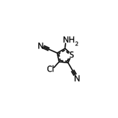 N#Cc1sc(N)c(C#N)c1Cl